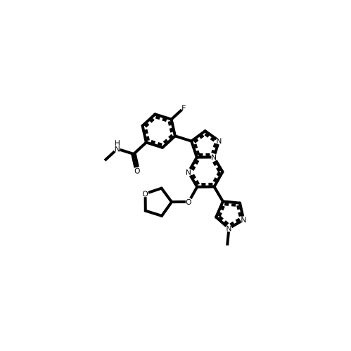 CNC(=O)c1ccc(F)c(-c2cnn3cc(-c4cnn(C)c4)c(OC4CCOC4)nc23)c1